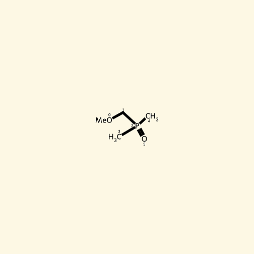 COCP(C)(C)=O